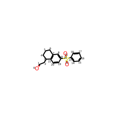 O=CCC1CCCc2cc(S(=O)(=O)c3ccccc3)ccc21